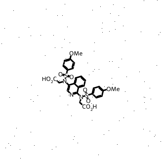 COc1ccc(S(=O)(=O)N(CC(=O)O)c2cnc(N(CC(=O)O)S(=O)(=O)c3ccc(OC)cc3)c3ccccc23)cc1